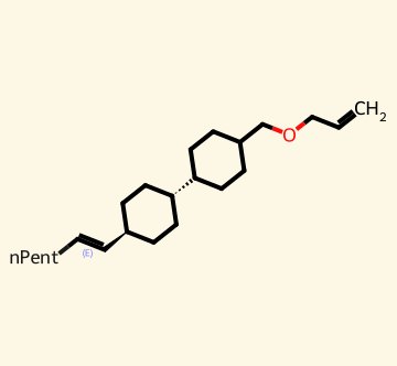 C=CCOCC1CCC([C@H]2CC[C@H](/C=C/CCCCC)CC2)CC1